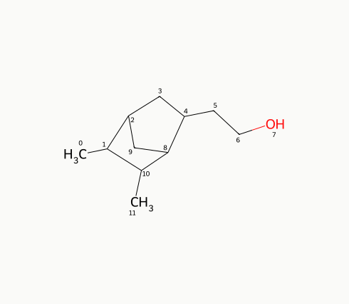 CC1C2CC(CCO)C(C2)C1C